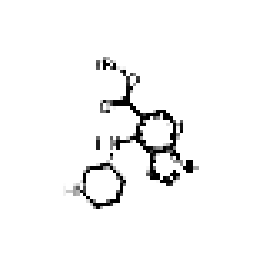 CC(C)(C)OC(=O)c1cnc2[nH]ccc2c1N[C@@H]1CCCNC1